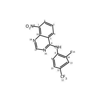 O=[N+]([O-])c1cccc2c(Nc3ccc(C(F)(F)F)cc3F)ncnc12